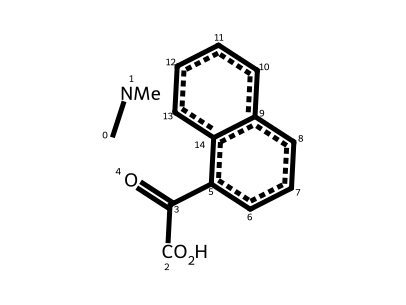 CNC.O=C(O)C(=O)c1cccc2ccccc12